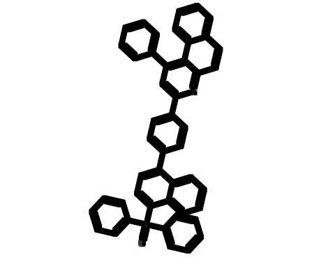 O=P(c1ccccc1)(c1ccccc1)c1ccc(-c2ccc(-c3cc(-c4ccccc4)c4c(ccc5ccccc54)n3)cc2)c2ccccc12